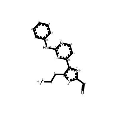 CCCc1nc(C=O)[nH]c1-c1ccnc(Nc2ccccc2)n1